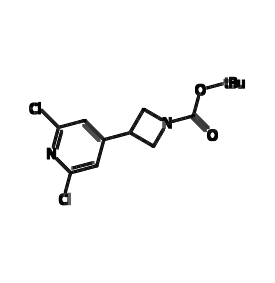 CC(C)(C)OC(=O)N1CC(c2cc(Cl)nc(Cl)c2)C1